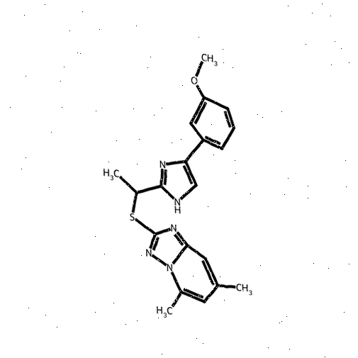 COc1cccc(-c2c[nH]c(C(C)Sc3nc4cc(C)cc(C)n4n3)n2)c1